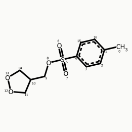 Cc1ccc(S(=O)(=O)OCC2COOC2)cc1